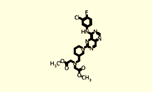 COC(=O)CN(CC(=O)OC)CC1CCCN(c2ncc3ncnc(Nc4ccc(F)c(Cl)c4)c3n2)C1